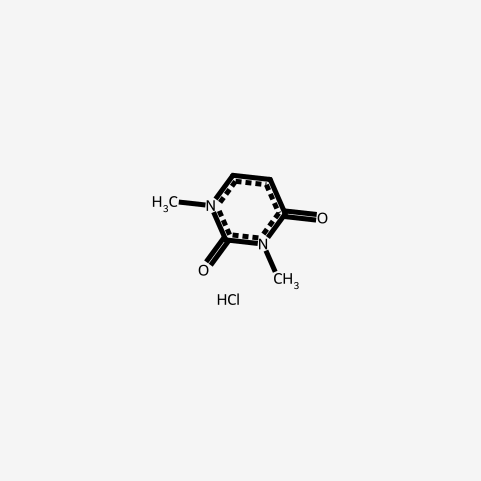 Cl.Cn1ccc(=O)n(C)c1=O